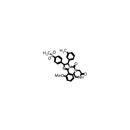 COc1ccccc1C1=NC(c2ccc(S(C)(=O)=O)cc2)C(c2cccc(C)c2)N1C(=O)N1CCNC(=O)C1